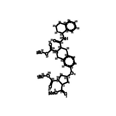 COC(=O)C1C[C@H](Oc2ccc3c(c2)CN(C(=O)OC(C)(C)C)C(C(=O)NC2CCCc4ccccc42)C3)CN1C(=O)OC(C)(C)C